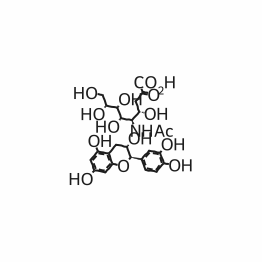 CC(=O)N[C@@H]([C@@H](O)[C@H](O)[C@H](O)CO)[C@@H](O)CC(=O)C(=O)O.Oc1cc(O)c2c(c1)O[C@H](c1ccc(O)c(O)c1)[C@@H](O)C2